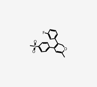 CC1=CC(c2ccc(S(C)(=O)=O)cc2)=C(c2cccc(F)c2)CO1